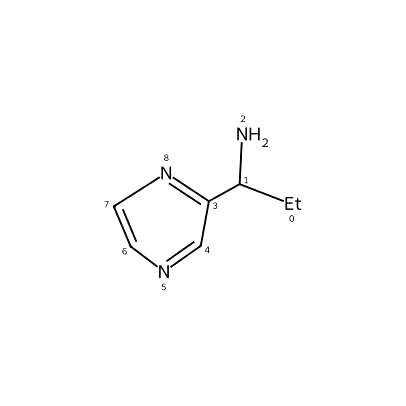 CCC(N)c1cnccn1